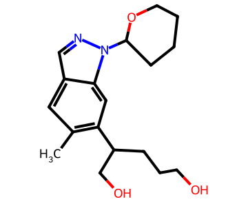 Cc1cc2cnn(C3CCCCO3)c2cc1C(CO)CCCO